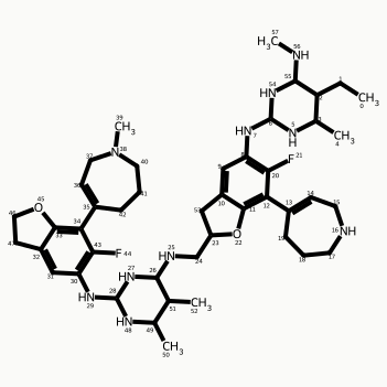 CCC1C(C)NC(Nc2cc3c(c(C4=CCNCCC4)c2F)OC(CNC2NC(Nc4cc5c(c(C6=CCN(C)CCC6)c4F)OCC5)NC(C)C2C)C3)NC1NC